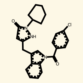 O=C(c1ccc(Cl)cc1)n1cc(Cc2cc(=O)n(C3CCCCC3)[nH]2)c2ccccc21